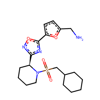 NCc1ccc(-c2nc([C@@H]3CCCCN3S(=O)(=O)CC3CCCCC3)no2)o1